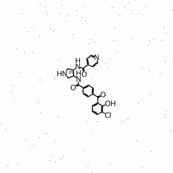 O=C(NC1CNC[C@H]1NC(=O)c1ccncc1)c1ccc(C(=O)c2cccc(Cl)c2O)cc1